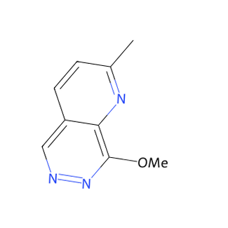 COc1nncc2ccc(C)nc12